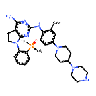 COc1cc(N2CCC(N3CCNCC3)CC2)ccc1Nc1nc(N)c2c(n1)N(c1ccccc1P(C)(C)=O)CC2